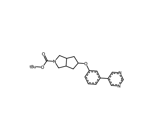 CC(C)(C)OC(=O)N1CC2CC(Oc3cccc(-c4cncnc4)c3)CC2C1